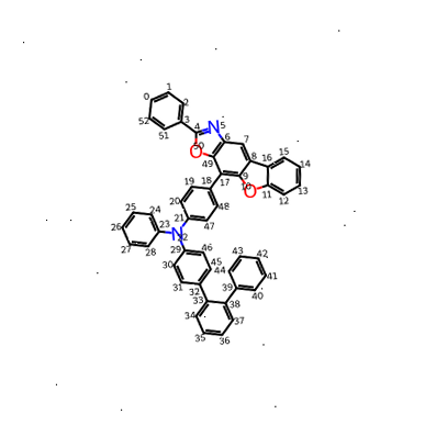 c1ccc(-c2nc3cc4c(oc5ccccc54)c(-c4ccc(N(c5ccccc5)c5ccc(-c6ccccc6-c6ccccc6)cc5)cc4)c3o2)cc1